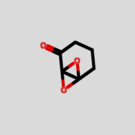 O=C1CCCC23OC12O3